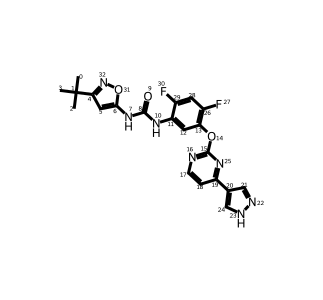 CC(C)(C)c1cc(NC(=O)Nc2cc(Oc3nccc(-c4cn[nH]c4)n3)c(F)cc2F)on1